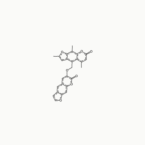 Cc1cc2c(COc3cc4cc5ccoc5cc4oc3=O)c3c(C)cc(=O)oc3c(C)c2o1